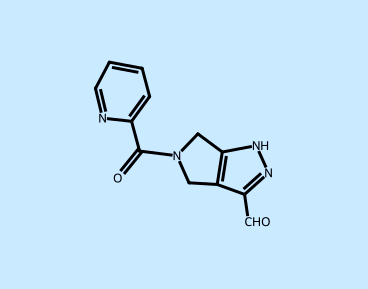 O=Cc1n[nH]c2c1CN(C(=O)c1ccccn1)C2